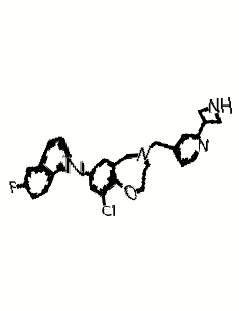 Fc1ccc2c(ccn2-c2cc(Cl)c3c(c2)CN(Cc2ccnc(C4CNC4)c2)CCO3)c1